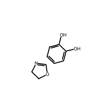 C1=NCCO1.Oc1ccccc1O